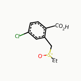 CC[S+]([O-])Cc1cc(Cl)ccc1C(=O)O